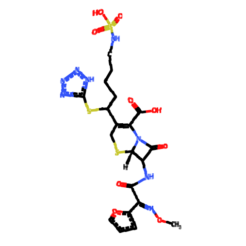 CON=C(C(=O)NC1C(=O)N2C(C(=O)O)=C(C(CCCCNS(=O)(=O)O)Sc3nnn[nH]3)CS[C@@H]12)c1ccco1